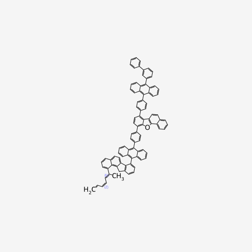 C=C/C=C\C=C(/C)c1cccc2ccc3c(c12)Cc1cccc(-c2c4ccccc4c(-c4ccc(-c5ccc(-c6ccc(-c7c8ccccc8c(-c8cccc(-c9ccccc9)c8)c8ccccc78)cc6)c6c5oc5c7ccccc7ccc56)cc4)c4ccccc24)c1-3